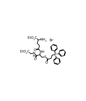 CCOC(=O)CNC(=O)C(CSC(=O)CC[P+](c1ccccc1)(c1ccccc1)c1ccccc1)NC(=O)CCC(N)C(=O)OCC.[Br-]